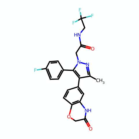 Cc1nn(CC(=O)NCC(F)(F)F)c(-c2ccc(F)cc2)c1-c1ccc2c(c1)NC(=O)CO2